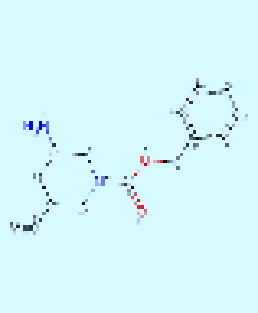 COC1CC(N)CN(C(=O)OCc2ccccc2)C1